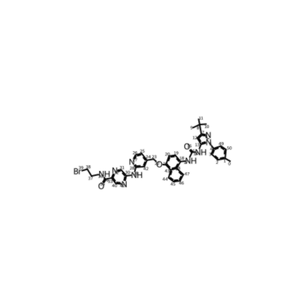 Cc1ccc(-n2nc(C(C)(C)C)cc2NC(=O)Nc2ccc(OCc3ccnc(Nc4cnc(C(=O)NCCBr)cn4)c3)c3ccccc23)cc1